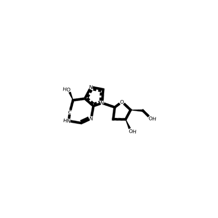 OC[C@@H]1OC(n2cnc3c2N=CNC[C@H]3O)C[C@@H]1O